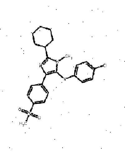 Cn1c(C2CCCCC2)nc(-c2ccc(S(C)(=O)=O)cc2)c1Sc1ccc(Cl)cc1